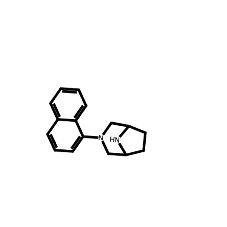 c1ccc2c(N3CC4CCC(C3)N4)cccc2c1